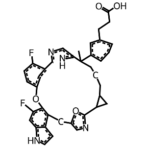 CC1(c2cccc(CCC(=O)O)c2)CCCC2CC2c2ncc(o2)Cc2c(c(F)cc3[nH]ccc23)Oc2ccc(F)c(c2)-c2ncc1[nH]2